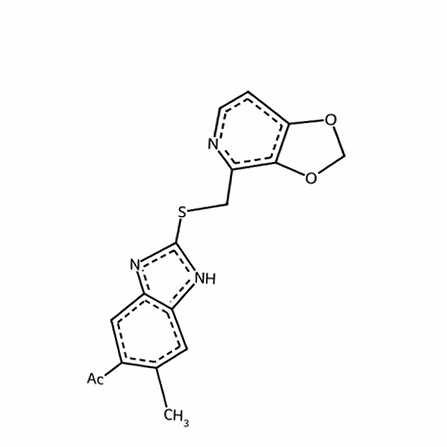 CC(=O)c1cc2nc(SCc3nccc4c3OCO4)[nH]c2cc1C